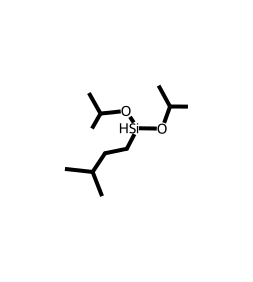 CC(C)CC[SiH](OC(C)C)OC(C)C